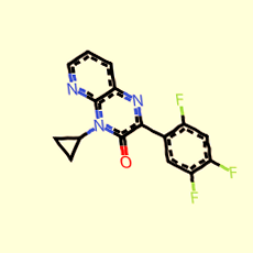 O=c1c(-c2cc(F)c(F)cc2F)nc2cccnc2n1C1CC1